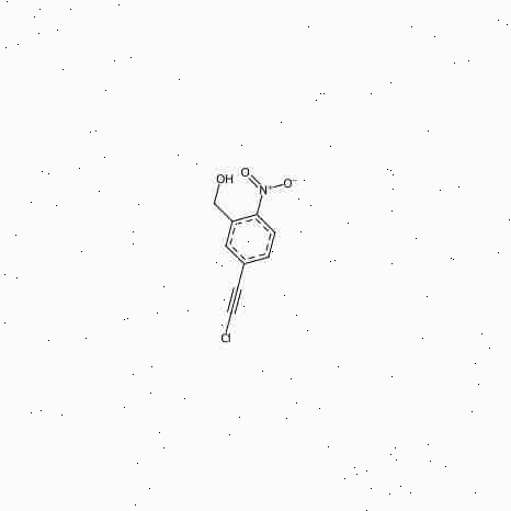 O=[N+]([O-])c1ccc(C#CCl)cc1CO